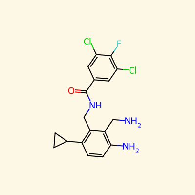 NCc1c(N)ccc(C2CC2)c1CNC(=O)c1cc(Cl)c(F)c(Cl)c1